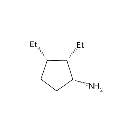 CC[C@H]1CC[C@@H](N)[C@H]1CC